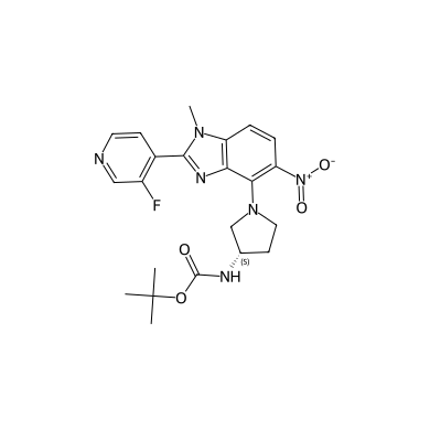 Cn1c(-c2ccncc2F)nc2c(N3CC[C@H](NC(=O)OC(C)(C)C)C3)c([N+](=O)[O-])ccc21